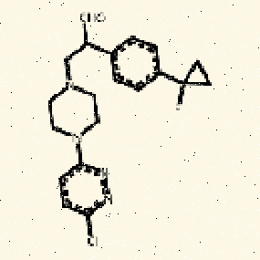 O=CC(CN1CCN(c2ccc(Cl)nn2)CC1)c1ccc(C2(F)CC2)cc1